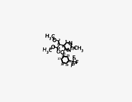 COC=C(C(=O)OC)c1cnc(C)nc1Oc1cccc(C(F)(F)F)c1